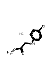 COC(=O)CNc1ccc(Cl)cc1.Cl